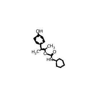 C/C(OC(=O)NC1CCCCC1)=C(/C)c1ccc(O)cc1